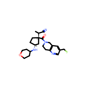 CC(C#N)[C@]1(C(=O)N2CCc3ncc(CF)cc3C2)CC[C@@H](NC2CCOCC2)C1